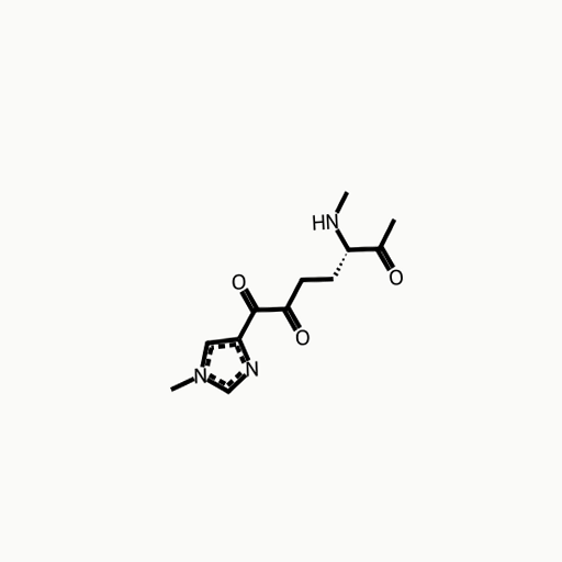 CN[C@@H](CCC(=O)C(=O)c1cn(C)cn1)C(C)=O